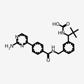 CC(C)(C)C(NC(=O)O)c1cccc(CNC(=O)c2ccc(-c3ccnc(N)n3)cc2)c1